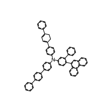 C1=C(c2ccccc2)CCC(c2ccc(N(c3ccc(-c4ccc(-c5ccccc5)cc4)cc3)c3ccc(-c4cc5ccccc5c5ccccc45)c(-c4ccccc4)c3)cc2)=C1